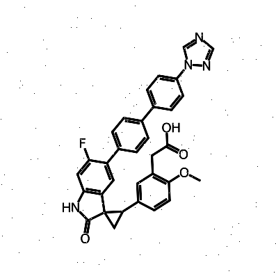 COc1ccc(C2CC23C(=O)Nc2cc(F)c(-c4ccc(-c5ccc(-n6cncn6)cc5)cc4)cc23)cc1CC(=O)O